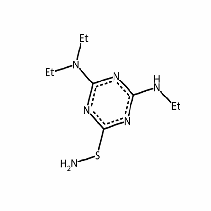 CCNc1nc(SN)nc(N(CC)CC)n1